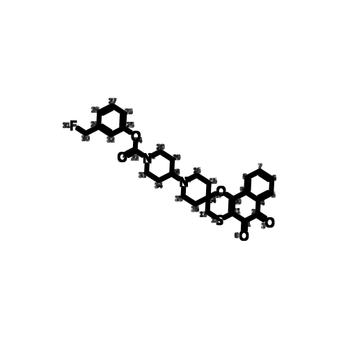 O=C1C(=O)c2ccccc2C2=C1SCC1(CCN(C3CCN(C(=O)Oc4cccc(CF)c4)CC3)CC1)O2